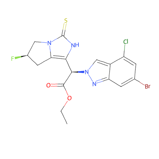 CCOC(=O)[C@@H](c1[nH]c(=S)n2c1C[C@@H](F)C2)n1cc2c(Cl)cc(Br)cc2n1